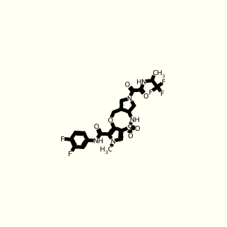 CC(NC(=O)C(=O)N1CC2COc3c(cn(C)c3C(=O)Nc3ccc(F)c(F)c3)S(=O)(=O)NC2C1)C(F)(F)F